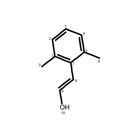 Cc1cccc(C)c1C=CO